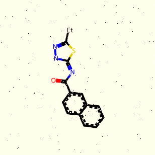 CCC1=N[N]C(=NC(=O)c2ccc3ccccc3c2)S1